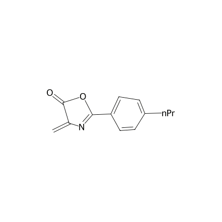 C=C1N=C(c2ccc(CCC)cc2)OC1=O